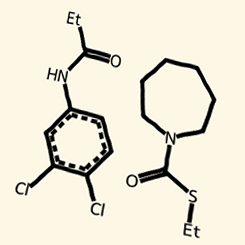 CCC(=O)Nc1ccc(Cl)c(Cl)c1.CCSC(=O)N1CCCCCC1